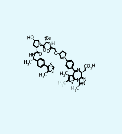 Cc1ncsc1-c1ccc([C@H](C)NC(=O)[C@@H]2C[C@@H](O)CN2C(=O)[C@@H](NC(=O)CO[C@H]2CCN(c3ccc(C4=N[C@@H](CC(=O)O)c5nnc(C)n5-c5sc(C)c(C)c54)cc3)C2)C(C)(C)C)cc1